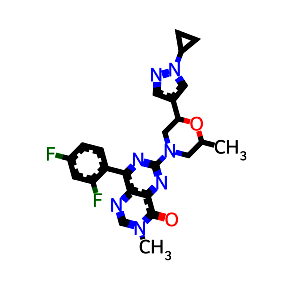 CC1CN(c2nc(-c3ccc(F)cc3F)c3ncn(C)c(=O)c3n2)CC(c2cnn(C3CC3)c2)O1